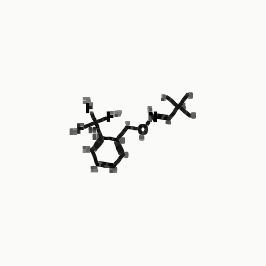 CC(C)(C)C=NOCc1ccccc1C(F)(F)F